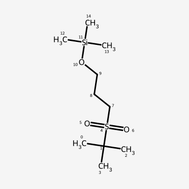 CC(C)(C)S(=O)(=O)CCCO[Si](C)(C)C